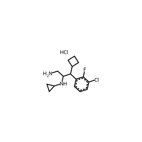 Cl.NCC(NC1CC1)C(c1cccc(Cl)c1F)C1CCC1